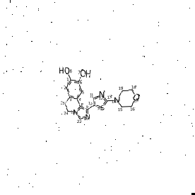 Oc1cc2c(cc1O)-c1c(-c3cnc(N4CCOCC4)s3)ncn1CC2